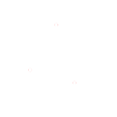 c1cc(C(C2CCCO2)C2CCCO2)co1